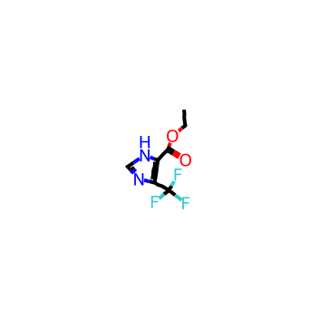 CCOC(=O)c1[nH]cnc1C(F)(F)F